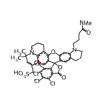 CNC(=O)CCCN1CCCc2cc3c(cc21)Oc1c(cc2c4c1CCCN4C(C)(C)C=C2CS(=O)(=O)O)C31OC(=O)c2c(Cl)c(Cl)c(Cl)c(Cl)c21